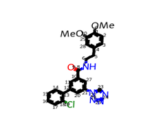 COc1ccc(CCNC(=O)c2cc(-c3ccccc3Cl)cc(-n3cnnn3)c2)cc1OC